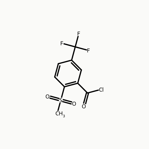 CS(=O)(=O)c1ccc(C(F)(F)F)cc1C(=O)Cl